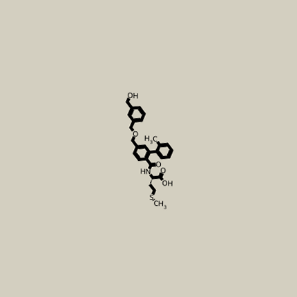 CSCC[C@H](NC(=O)c1ccc(COCc2cccc(CO)c2)cc1-c1ccccc1C)C(=O)O